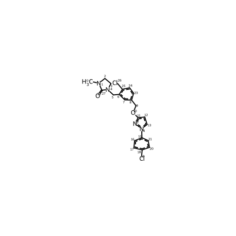 CN1CCN(Cc2cc(COc3ccn(-c4ccc(Cl)cc4)n3)ccc2Cl)C1=O